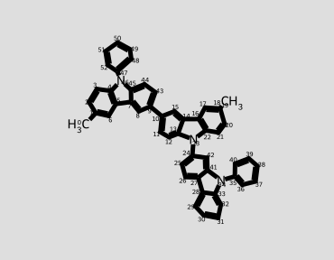 Cc1ccc2c(c1)c1cc(-c3ccc4c(c3)c3cc(C)ccc3n4-c3ccc4c5ccccc5n(-c5ccccc5)c4c3)ccc1n2-c1ccccc1